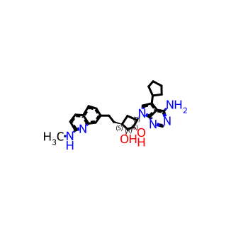 CNc1ccc2ccc(CC[C@H]3C[C@@H](n4cc(C5CCCC5)c5c(N)ncnc54)[C@H](O)[C@@H]3O)cc2n1